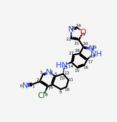 N#Cc1cnc2c(c1Cl)CCC[C@@H]2Nc1ccc2[nH]nc(-c3cnco3)c2c1